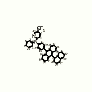 FC(F)(F)c1ccc(N(c2ccccc2)c2ccc(-c3c4ccccc4c(-c4cccc5ccccc45)c4ccccc34)cc2)nc1